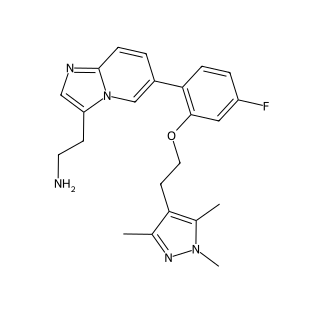 Cc1nn(C)c(C)c1CCOc1cc(F)ccc1-c1ccc2ncc(CCN)n2c1